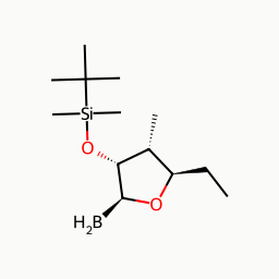 B[C@@H]1O[C@H](CC)[C@@H](C)[C@H]1O[Si](C)(C)C(C)(C)C